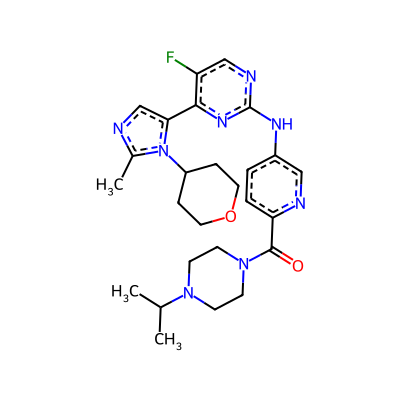 Cc1ncc(-c2nc(Nc3ccc(C(=O)N4CCN(C(C)C)CC4)nc3)ncc2F)n1C1CCOCC1